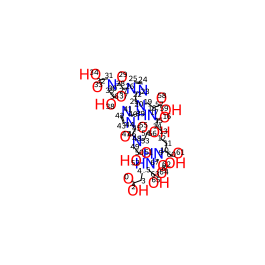 O=C(O)CC[C@H](NC(=O)N[C@@H](CCCCC(=O)NC(CN(Cc1nccn1CC(=O)N(CC(=O)O)CC(=O)O)Cc1nccn1CC(=O)N(CC(=O)O)CC(=O)O)C(=O)O)C(=O)O)C(=O)O